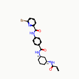 C=CC(=O)N[C@H]1CCC[C@@H](NC(=O)c2ccc(NC(=O)c3cccc(Br)n3)cc2)C1